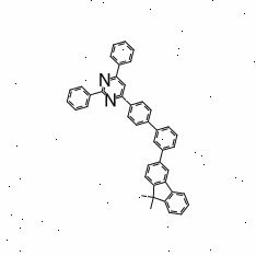 CC1(C)c2ccccc2-c2cc(-c3cccc(-c4ccc(-c5cc(-c6ccccc6)nc(-c6ccccc6)n5)cc4)c3)ccc21